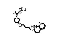 CC(C)(C)OC(=O)N1CC[C@@H](OCCCC[C@H]2CCc3cccnc3N2)C1